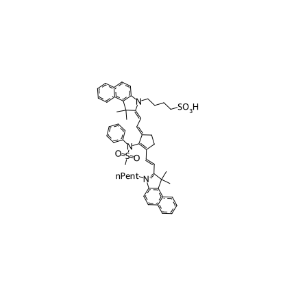 CCCCC[N+]1=C(/C=C/C2=C(N(c3ccccc3)S(C)(=O)=O)C(=C/C=C3/N(CCCCS(=O)(=O)O)c4ccc5ccccc5c4C3(C)C)/CC2)C(C)(C)c2c1ccc1ccccc21